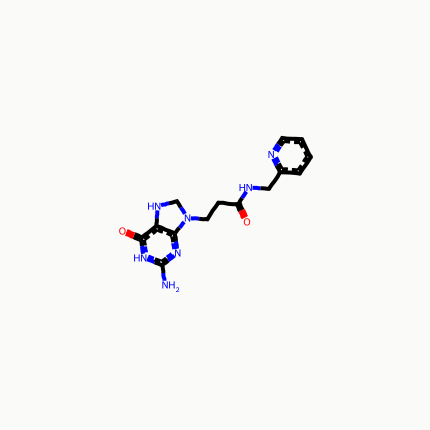 Nc1nc2c(c(=O)[nH]1)NCN2CCC(=O)NCc1ccccn1